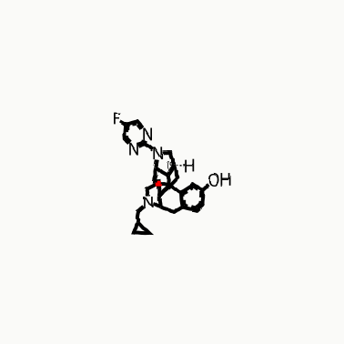 Oc1ccc2c(c1)C13CCN(CC4CC4)C(C2)C12CCC1C3[C@@H](CN1c1ncc(F)cn1)C2